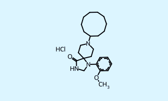 COc1ccccc1N1CNC(=O)C12CCN(C1CCCCCCCCC1)CC2.Cl